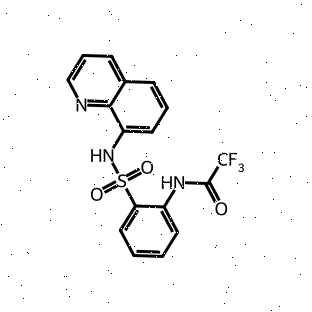 O=C(Nc1ccccc1S(=O)(=O)Nc1cccc2cccnc12)C(F)(F)F